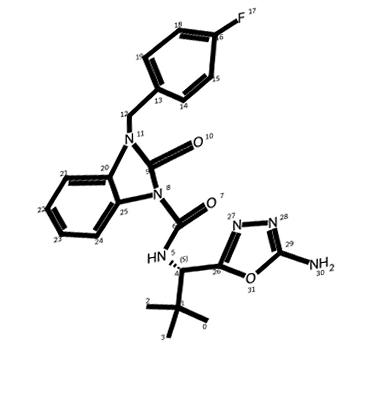 CC(C)(C)[C@H](NC(=O)n1c(=O)n(Cc2ccc(F)cc2)c2ccccc21)c1nnc(N)o1